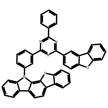 c1ccc(-c2nc(-c3cccc(-n4c5ccccc5c5ccc6c7ccccc7sc6c54)c3)nc(-c3ccc4oc5ccccc5c4c3)n2)cc1